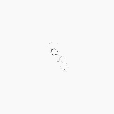 C[C@H](Oc1ccc(N2CCC3(CCC(O)(C(F)(F)F)CC3)C2=O)cn1)C(F)(F)F